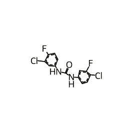 O=C(Nc1ccc(Cl)c(F)c1)Nc1ccc(F)c(Cl)c1